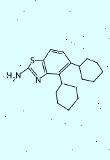 Nc1nc2c(C3CCCCC3)c(C3CCCCC3)ccc2s1